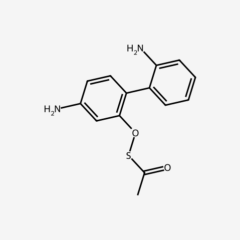 CC(=O)SOc1cc(N)ccc1-c1ccccc1N